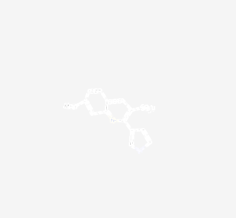 COc1ccc2cc(C(=O)O)c(-c3ccsc3)nc2c1